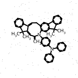 C=C1/C=C2\C(=C/Cc3cc4c(cc3N1c1ccc(N(c3ccccc3)c3ccccc3)cc1)C(C)(C)c1ccccc1-4)c1ccccc1C2(C)C